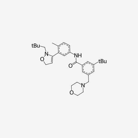 Cc1ccc(NC(=O)c2cc(CN3CCOCC3)cc(C(C)(C)C)c2)cc1C1=CCON1CC(C)(C)C